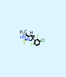 Cc1[nH]c(=S)n2c1[C@@H]1C[C@]1(c1c(F)ccc(Cl)c1F)C2